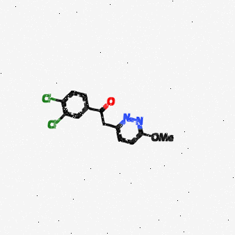 COc1ccc(CC(=O)c2ccc(Cl)c(Cl)c2)nn1